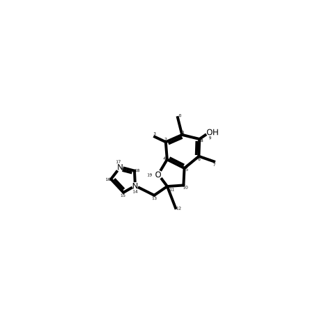 Cc1c(C)c2c(c(C)c1O)CC(C)(Cn1ccnc1)O2